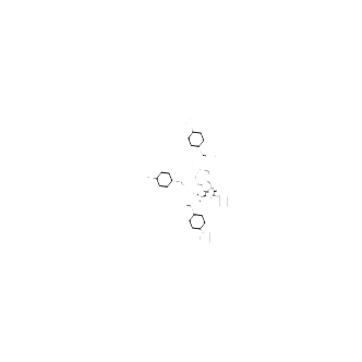 Cc1ccc(C(=O)O[C@@H](C=O)[C@@H](OC(=O)c2ccc(Cl)cc2)[C@@H](COC(=O)c2ccc(Cl)cc2)OS(C)(=O)=O)cc1